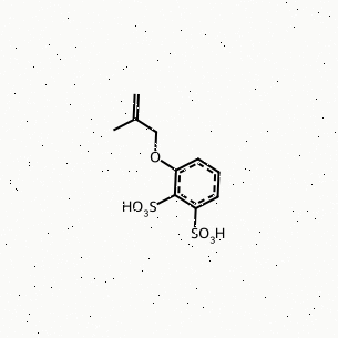 C=C(C)COc1cccc(S(=O)(=O)O)c1S(=O)(=O)O